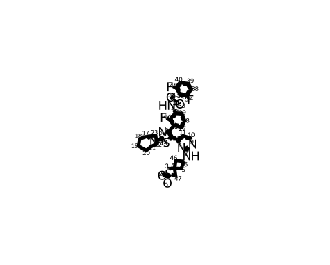 O=S1(=O)CC2(CC(Nc3nccc(-c4sc(N5C6CCCC5CC6)nc4-c4cccc(NS(=O)(=O)c5c(F)cccc5F)c4F)n3)C2)C1